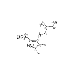 CCOC(=O)c1[nH]c(C)c(C)c1OCC(O)CBr